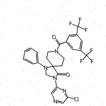 O=C(c1cc(C(F)(F)F)cc(C(F)(F)F)c1)N1CCC2(CC1)C(=O)N(c1cncc(Cl)n1)CN2c1ccccc1